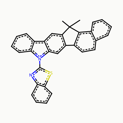 CC1(C)c2cc3c4ccccc4n(-c4nc5ccccc5s4)c3cc2-c2ccc3ccccc3c21